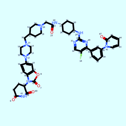 O=C1CCC(n2c(=O)oc3cc(N4CCN(CC5CCN(CC(=O)N[C@H]6CC[C@H](Nc7ncc(F)c(-c8cccc(-n9ccccc9=O)c8)n7)CC6)CC5)CC4)ccc32)C(=O)N1